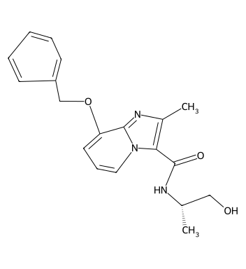 Cc1nc2c(OCc3ccccc3)cccn2c1C(=O)N[C@@H](C)CO